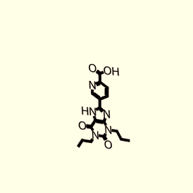 CCCn1c(=O)c2[nH]c(-c3ccc(C(=O)O)nc3)nc2n(CCC)c1=O